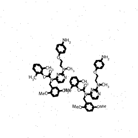 COc1ccc(OC)c(CN(C(=O)Oc2c(C)cccc2C)c2ccnc(N(C)CCOc3ccc(N)cc3)n2)c1.COc1ccc(OC)c(CN(C(=O)Oc2c(C)cccc2C)c2ccnc(N(C)CCOc3ccc(N)cc3)n2)c1